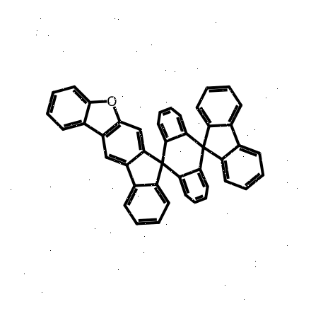 c1ccc2c(c1)-c1ccccc1C21c2ccccc2C2(c3ccccc3-c3cc4c(cc32)oc2ccccc24)c2ccccc21